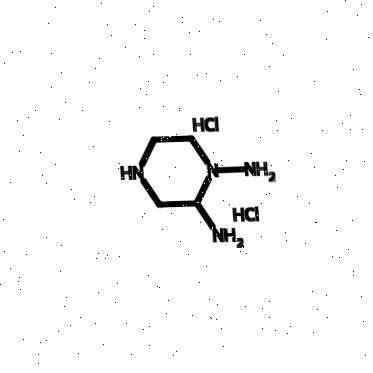 Cl.Cl.NC1CNCCN1N